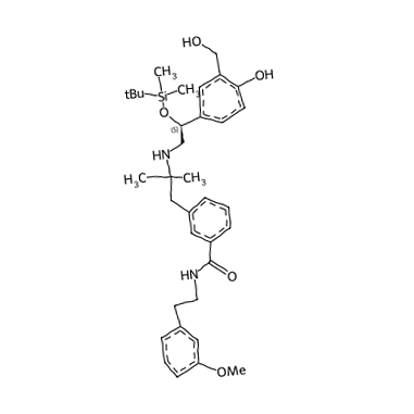 COc1cccc(CCNC(=O)c2cccc(CC(C)(C)NC[C@@H](O[Si](C)(C)C(C)(C)C)c3ccc(O)c(CO)c3)c2)c1